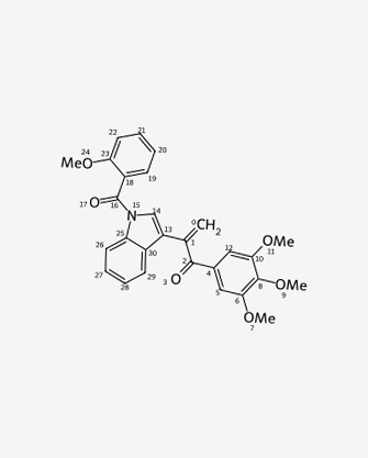 C=C(C(=O)c1cc(OC)c(OC)c(OC)c1)c1cn(C(=O)c2ccccc2OC)c2ccccc12